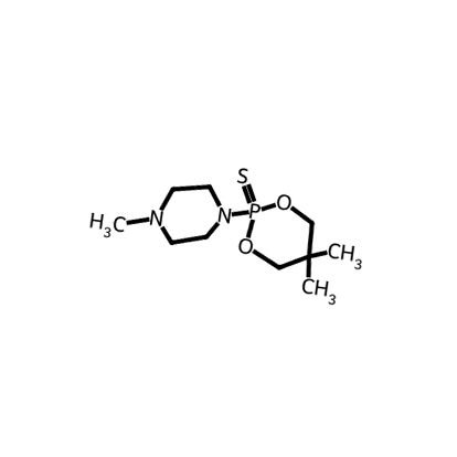 CN1CCN(P2(=S)OCC(C)(C)CO2)CC1